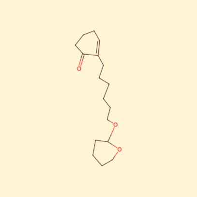 O=C1CCCC=C1CCCCCCOC1CCCCO1